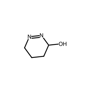 OC1CCCN=N1